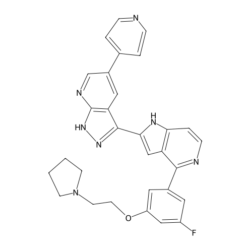 Fc1cc(OCCN2CCCC2)cc(-c2nccc3[nH]c(-c4n[nH]c5ncc(-c6ccncc6)cc45)cc23)c1